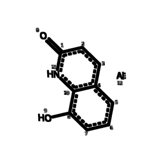 O=c1ccc2cccc(O)c2[nH]1.[Al]